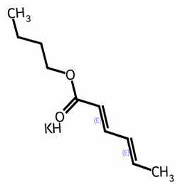 C/C=C/C=C/C(=O)OCCCC.[KH]